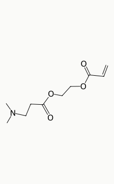 C=CC(=O)OCCOC(=O)CCN(C)C